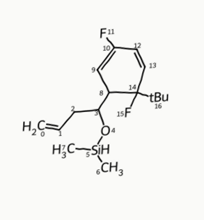 C=CCC(O[SiH](C)C)C1C=C(F)C=CC1(F)C(C)(C)C